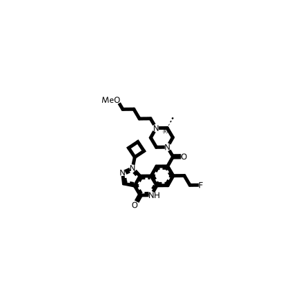 COCCCCN1CCN(C(=O)c2cc3c(cc2CCF)[nH]c(=O)c2cnn(C4CCC4)c23)C[C@H]1C